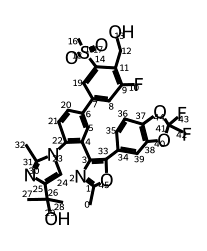 Cc1nc(-c2cc(-c3cc(F)c(CO)c(S(C)(=O)=O)c3)ccc2-n2cc(C(C)(C)O)nc2C)c(-c2ccc3c(c2)OC(F)(F)O3)o1